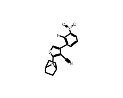 N#Cc1c(-c2cccc([N+](=O)[O-])c2F)csc1N1C2CCC1CC2